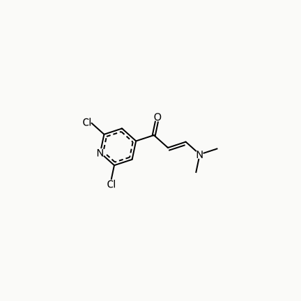 CN(C)C=CC(=O)c1cc(Cl)nc(Cl)c1